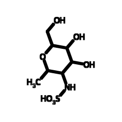 CC1OC(CO)C(O)C(O)C1NS(=O)(=O)O